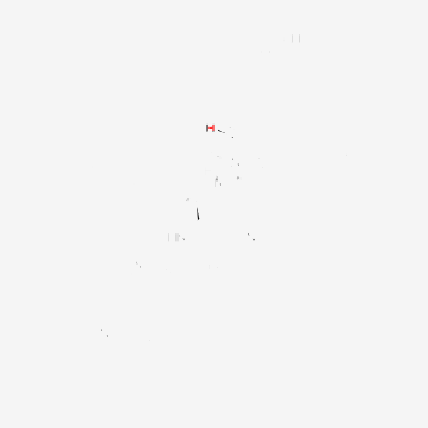 COc1c(C)c(OC)c2c(c1O)[C@H]1[C@@H]3Cc4c(OC)c(C)c(CO)c(O)c4[C@H](CNC(=O)[C@@H](N)Cc4c[nH]c5ccccc45)N3[C@@H](C#N)[C@H](C2)N1C